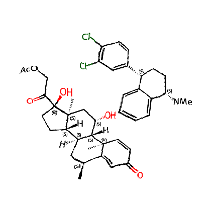 CC(=O)OCC(=O)[C@@]1(O)CC[C@H]2[C@@H]3C[C@H](C)C4=CC(=O)C=C[C@]4(C)[C@H]3[C@@H](O)C[C@@]21C.CN[C@H]1CC[C@@H](c2ccc(Cl)c(Cl)c2)c2ccccc21